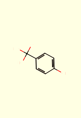 Oc1ccc(C(O)(O)O)cc1